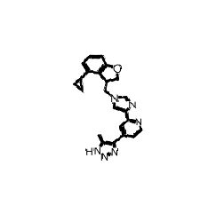 Cc1[nH]nnc1-c1ccnc(-c2cn(C[C@@H]3COc4cccc(C5CC5)c43)cn2)c1